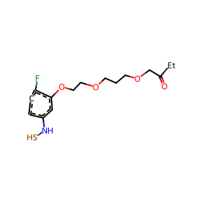 CCC(=O)COCCCOCCOc1cc(NS)ccc1F